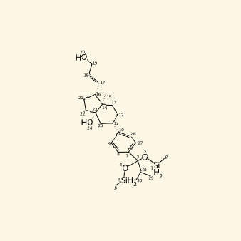 C[SiH2]OC(O[SiH2]C)(c1ccc([C@H]2CC[C@]3(C)[C@@H](C=CCO)CC[C@]3(O)C2)cc1)C(C)C